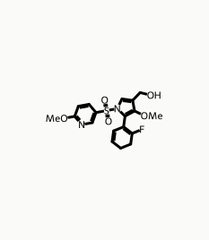 COc1ccc(S(=O)(=O)n2cc(CO)c(OC)c2C2=C(F)CCC=C2)cn1